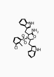 Cc1c(Cl)cccc1S(=O)(=O)N(C(C)Cc1c[nH]c2ccccc12)C(Cc1c[nH]c2ccccc12)C(N)=O